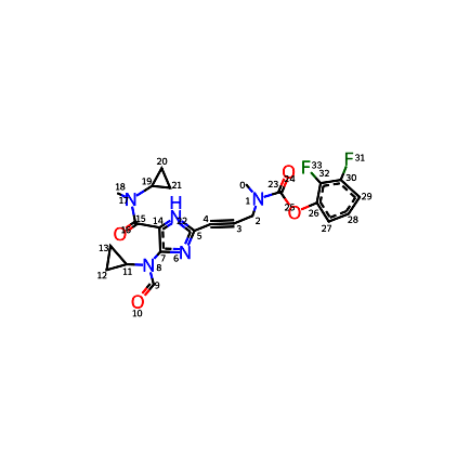 CN(CC#Cc1nc(N(C=O)C2CC2)c(C(=O)N(C)C2CC2)[nH]1)C(=O)Oc1cccc(F)c1F